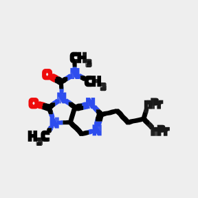 CCCC(CCC)CCC1=NCC2C(=N1)N(C(=O)N(C)C)C(=O)N2C